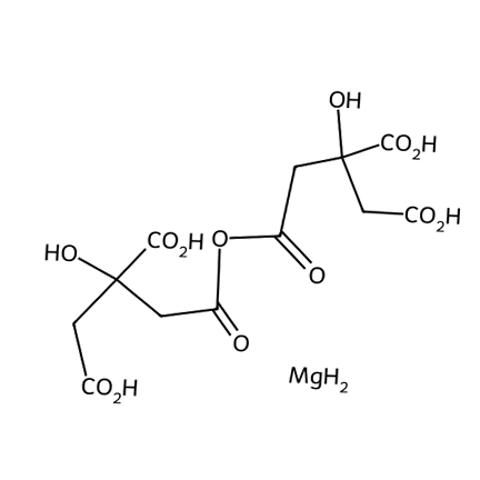 O=C(O)CC(O)(CC(=O)OC(=O)CC(O)(CC(=O)O)C(=O)O)C(=O)O.[MgH2]